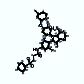 Cc1ccnc(Oc2ccc(-n3c(-c4c(F)cc(NC(=O)CCS(=O)(=O)c5ccccc5)cc4F)c(C)c4ncnc(N)c43)cc2F)n1